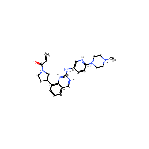 C=CC(=O)N1CCC(c2cccc3cnc(Nc4ccc(N5CCN(C)CC5)nc4)nc23)C1